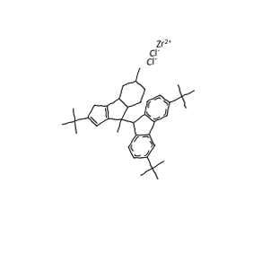 CC1CCC2C(C1)C1=C(C=C(C(C)(C)C)C1)C2(C)C1c2ccc(C(C)(C)C)cc2-c2cc(C(C)(C)C)ccc21.[Cl-].[Cl-].[Zr+2]